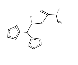 C[C@H](N)C(=O)O[C@@H](C)C(c1cccs1)c1cccs1